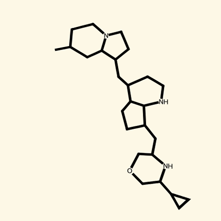 CC1CCN2CCC(CC3CCNC4C(CC5COCC(C6CC6)N5)CCC34)C2C1